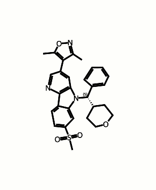 Cc1noc(C)c1-c1cnc2c3ccc(S(C)(=O)=O)cc3n([C@H](c3ccccc3)C3CCOCC3)c2c1